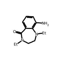 CCN1CCN(CC)c2c(N)cccc2C1=O